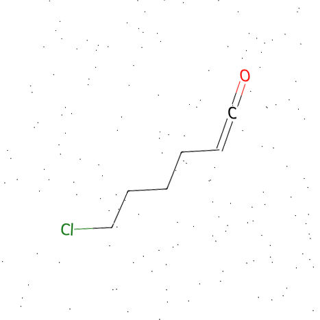 O=C=CCCCCCl